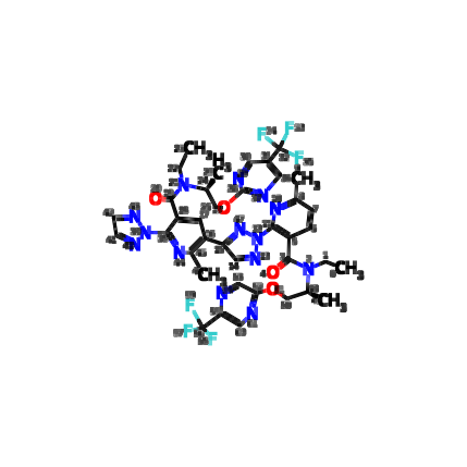 CCN(C(=O)c1ccc(C)nc1-n1ncc(-c2cc(C(=O)N(CC)[C@@H](C)COc3ncc(C(F)(F)F)cn3)c(-n3nccn3)nc2C)n1)[C@@H](C)COc1cnc(C(F)(F)F)cn1